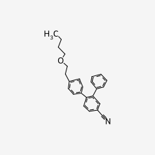 CCCCOCCc1ccc(-c2ccc(C#N)cc2-c2ccccc2)cc1